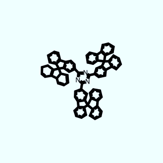 C1=CC2C3=C(CCC=C3)C3(c4ccccc4-c4ccc(-c5nc(-c6ccc7c(c6)C6(c8ccccc8-c8ccccc86)c6ccccc6-7)nc(-c6ccc7c(c6)C6(c8ccccc8-c8ccccc86)c6ccccc6-7)n5)cc43)C2C=C1